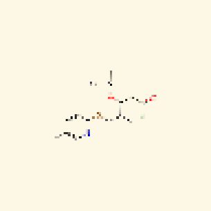 Cc1ccc(SCC(C)C(CC(=O)Cl)O[Si](C)(C)C(C)(C)C)nc1